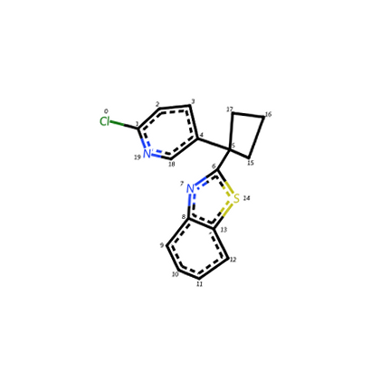 Clc1ccc(C2(c3nc4ccccc4s3)CCC2)cn1